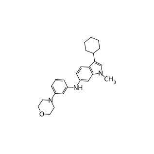 Cn1cc(C2CCCCC2)c2ccc(Nc3cccc(N4CCOCC4)c3)cc21